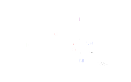 CSCC[C@H](NC(=O)Cc1cc(OCc2ccc(F)cc2)ccc1I)C(N)=O